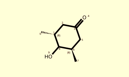 C[C@@H]1CC(=O)C[C@@H](C)C1O